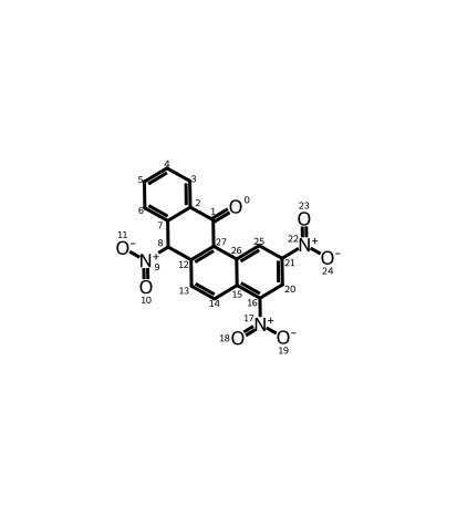 O=C1c2ccccc2C([N+](=O)[O-])c2ccc3c([N+](=O)[O-])cc([N+](=O)[O-])cc3c21